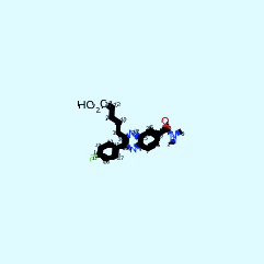 CN(C)C(=O)c1ccc2nc(-c3ccc(F)cc3)c(CCCCC(=O)O)nc2c1